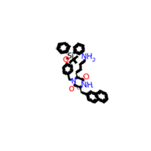 CC(C)(C)[Si](Oc1ccc(CN2C(=O)[C@H](Cc3ccc4ccccc4c3)NC(=O)[C@@H]2CCCCN)cc1)(c1ccccc1)c1ccccc1